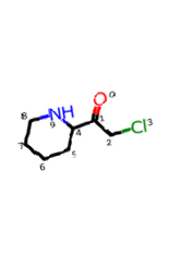 O=C(CCl)C1CCCCN1